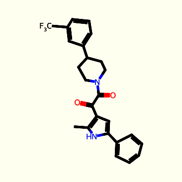 Cc1[nH]c(-c2ccccc2)cc1C(=O)C(=O)N1CCC(c2cccc(C(F)(F)F)c2)CC1